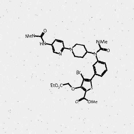 CCOC(=O)COc1c(C(=O)OC)sc(-c2cccc(N(C(=O)NC)C3CCN(c4ccc(NC(=O)NC)cn4)CC3)c2)c1Br